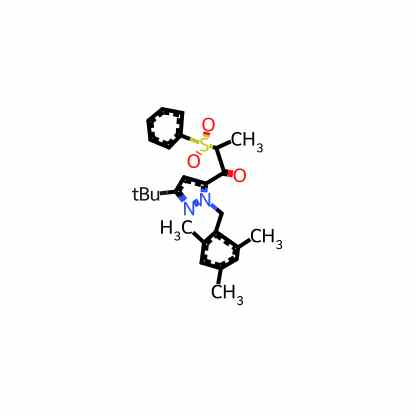 Cc1cc(C)c(Cn2nc(C(C)(C)C)cc2C(=O)C(C)S(=O)(=O)c2ccccc2)c(C)c1